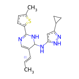 C/C=C/C1=CN=C(c2ccc(C)s2)NC1Nc1cc(C2CC2)n[nH]1